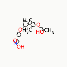 Cc1cc(OCC[C@@H](C)O)cc(C)c1-c1cccc2c1CCC2Oc1ccc(-c2cc(O)no2)cc1